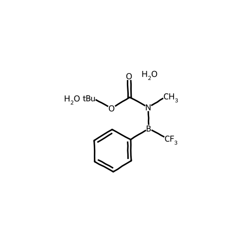 CN(B(c1ccccc1)C(F)(F)F)C(=O)OC(C)(C)C.O.O